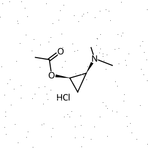 CC(=O)O[C@@H]1C[C@@H]1N(C)C.Cl